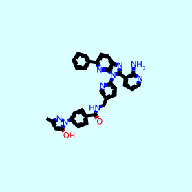 Cc1cc(O)n(-c2ccc(C(=O)NCc3ccc(-n4c(-c5cccnc5N)nc5ccc(-c6ccccc6)nc54)nc3)cc2)n1